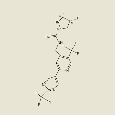 C[C@H]1N[C@@H](C(=O)NCc2cc(-c3cnc(C(F)(F)F)nc3)ncc2C(F)(F)F)C[C@H]1F